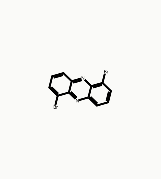 Brc1cccc2nc3c(Br)cccc3nc12